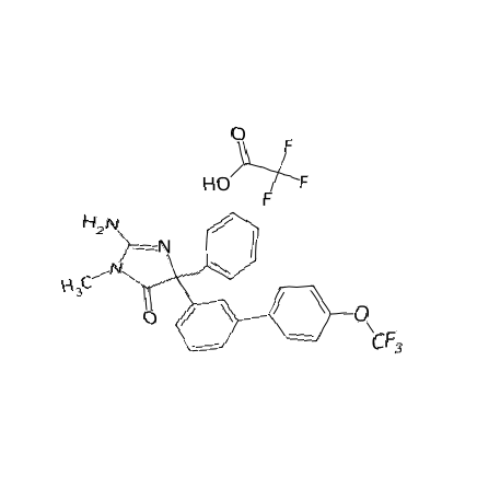 CN1C(=O)C(c2ccccc2)(c2cccc(-c3ccc(OC(F)(F)F)cc3)c2)N=C1N.O=C(O)C(F)(F)F